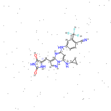 N#Cc1ccc(Nc2cc(NC3CC3)n3ncc(/C=C4\NC(=O)NC4=O)c3n2)cc1C(F)(F)F